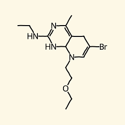 CCNC1=NC(C)=C2CC(Br)=CN(CCOCC)C2N1